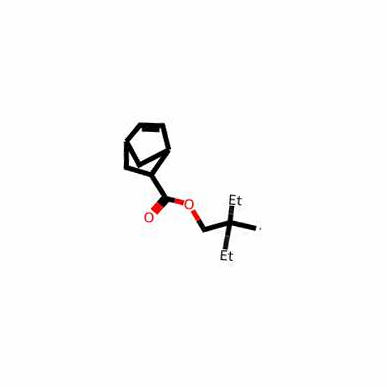 [CH2]C(CC)(CC)COC(=O)C1CC2C=CC1C2